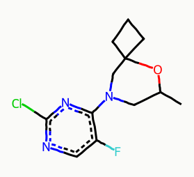 CC1CN(c2nc(Cl)ncc2F)CC2(CCC2)O1